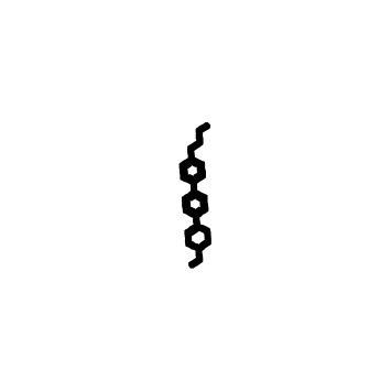 CCCCc1ccc(-c2ccc(C3=CCC(CC)CC3)cc2)cc1